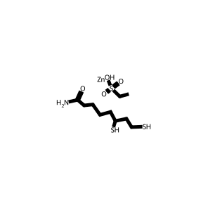 CCS(=O)(=O)O.NC(=O)CCCCC(S)CCS.[Zn]